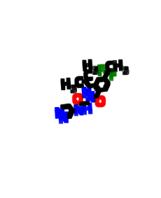 CC(C)c1nn(CC(=O)Nc2ccnnc2)c(=O)c2ccc(C(C)(F)F)cc12